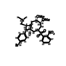 CO[C@H]1CN2[C@H](CN(C)C)[C@H](c3ccc(Br)cc3)[C@@H]2CN(S(=O)(=O)c2ccccc2[N+](=O)[O-])C[C@H]1OC